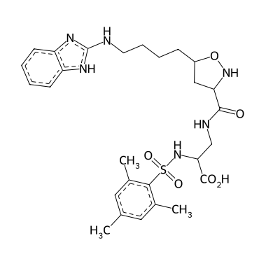 Cc1cc(C)c(S(=O)(=O)NC(CNC(=O)C2CC(CCCCNc3nc4ccccc4[nH]3)ON2)C(=O)O)c(C)c1